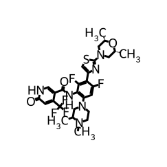 CC1CN(c2cc(F)c(-c3csc(N4C[C@@H](C)O[C@@H](C)C4)n3)c(F)c2NC(=O)c2c[nH]c(=O)cc2C(F)(F)F)CCN1C